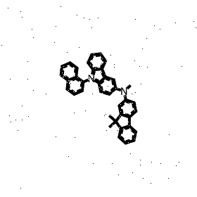 CN(c1ccc2c(c1)C(C)(C)c1ccccc1-2)c1ccc2c(c1)c1ccccc1n2-c1cccc2ccccc12